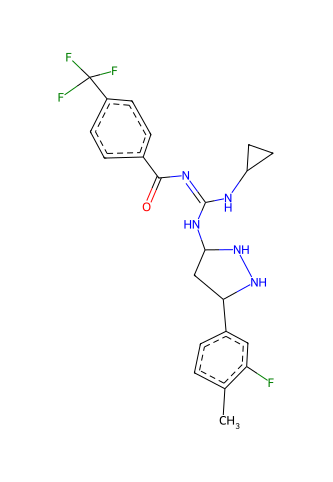 Cc1ccc(C2CC(N/C(=N\C(=O)c3ccc(C(F)(F)F)cc3)NC3CC3)NN2)cc1F